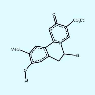 CCOC(=O)c1cn2c(cc1=O)-c1cc(OC)c(OCC)cc1CC2CC